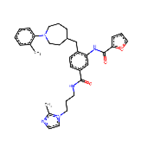 Cc1ccccc1N1CCCC(Cc2ccc(C(=O)NCCCn3ccnc3C)cc2NC(=O)c2ccco2)CC1